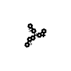 CC1(C)c2ccccc2-c2cc(N(c3ccc4c(ccc5c6ccccc6sc45)c3)c3ccc4c(c3)sc3ccccc34)ccc21